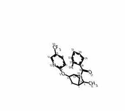 CC1C2CC(Oc3ccc(C(F)(F)F)cn3)C(C2)N1C(=O)c1ccccc1I